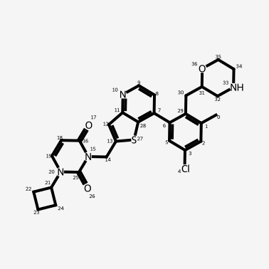 Cc1cc(Cl)cc(-c2ccnc3cc(Cn4c(=O)ccn(C5CCC5)c4=O)sc23)c1CC1CNCCO1